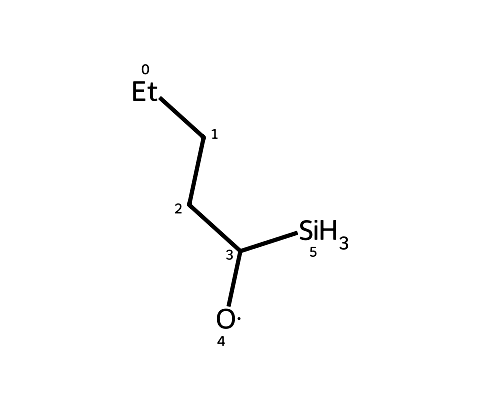 CCCCC([O])[SiH3]